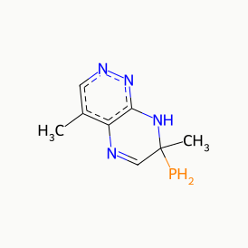 Cc1cnnc2c1N=CC(C)(P)N2